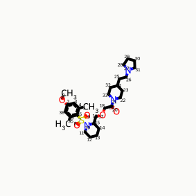 COc1cc(C)c(S(=O)(=O)N2CCCCC2COCC(=O)N2CCC(CCN3CCCC3)CC2)c(C)c1